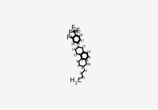 C=CCC[C@H]1CCc2c(ccc3c2CC[C@H](c2ccc(C(F)(F)F)c(F)c2)C3)C1